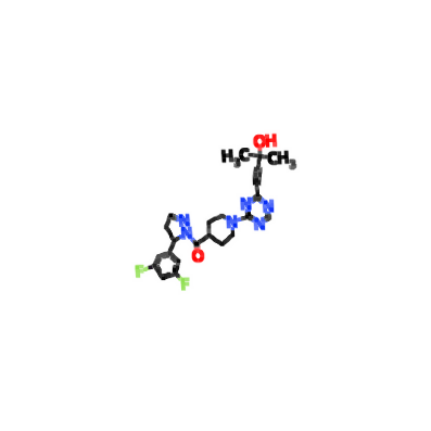 CC(C)(O)C#Cc1ncnc(N2CCC(C(=O)N3N=CCC3c3cc(F)cc(F)c3)CC2)n1